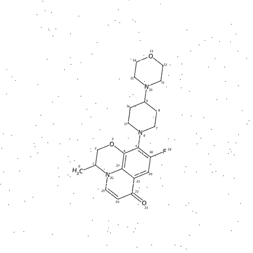 CC1COc2c(N3CCC(N4CCOCC4)CC3)c(F)cc3c(=O)ccn1c23